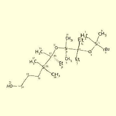 CCCC[Si](C)(C)OC(CC)(CC)[Si](C)(C)O[C@@](C)(CC)[Si](C)(C)CCCO